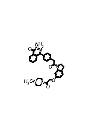 CN1CCN(C(=O)COc2ccc3c(c2)N(C(=O)Cc2ccc(-c4nn(N)c(=O)c5ccccc45)cc2)CC3)CC1